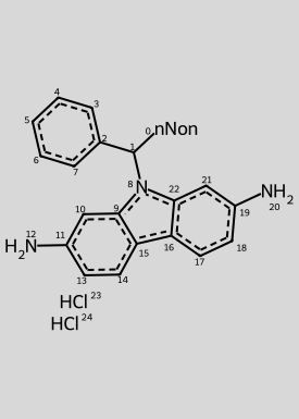 CCCCCCCCCC(c1ccccc1)n1c2cc(N)ccc2c2ccc(N)cc21.Cl.Cl